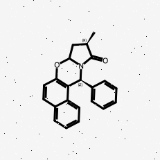 C[C@@H]1CC2Oc3ccc4ccccc4c3[C@H](c3ccccc3)N2C1=O